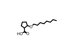 CCCCCCCCOC1CCCC1C(=O)O